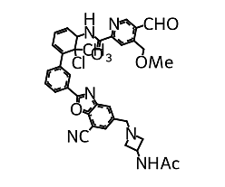 COCc1cc(C(=O)NC2C=CC=C(c3cccc(-c4nc5cc(CN6CC(NC(C)=O)C6)cc(C#N)c5o4)c3)C2(C)Cl)ncc1C=O